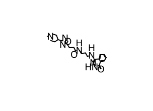 CN1CCC(c2noc(CCC(=O)NCCCNc3n[nH]c(=O)c4ccccc34)n2)CC1